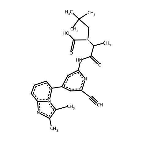 C#Cc1cc(-c2cccc3nc(C)c(C)n23)cc(NC(=O)C(C)N(CC(C)(C)C)C(=O)O)n1